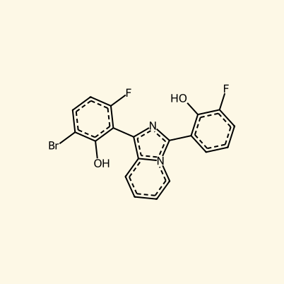 Oc1c(F)cccc1-c1nc(-c2c(F)ccc(Br)c2O)c2ccccn12